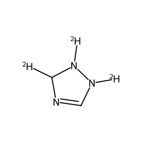 [2H]C1N=CN([2H])N1[2H]